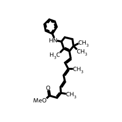 COC(=O)\C=C(C)/C=C/C=C(C)/C=C/C1=C(C)C(Nc2ccccc2)CCC1(C)C